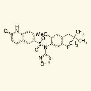 COc1cc(CC(C)(C)C(F)(F)F)c(F)cc1N(c1ccon1)S(=O)(=O)c1ccc2[nH]c(=O)ccc2c1